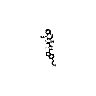 CN1C(=O)[C@@H](NC(=O)c2nnc(C3CCc4cc(CCO)ccc43)[nH]2)COc2cccnc21